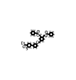 CCC(=O)C1=CC=C(c2cccc(OCc3ccc(COC(=O)c4ccccc4)c(COC(=O)c4ccccc4)c3)c2)CC1=S